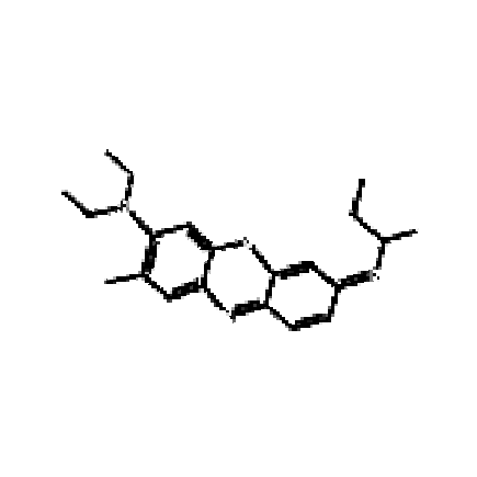 CCC(C)/N=c1/ccc2nc3cc(C)c(N(CC)CC)cc3sc-2c1